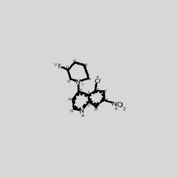 O=[N+]([O-])c1cc(Cl)c2c(N3CCCC(F)C3)ccnc2c1